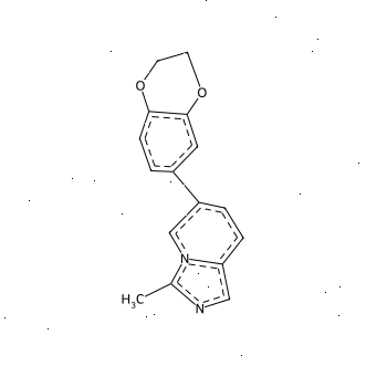 Cc1ncc2ccc(-c3ccc4c(c3)OCCO4)cn12